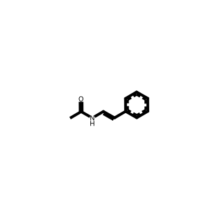 CC(=O)NC=Cc1ccccc1